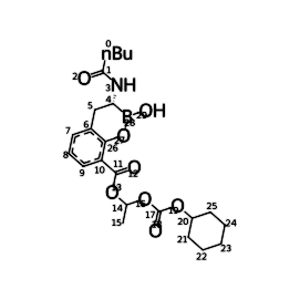 CCCCC(=O)N[C@H]1Cc2cccc(C(=O)OC(C)OC(=O)OC3CCCCC3)c2OB1O